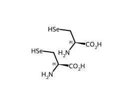 N[C@@H](C[SeH])C(=O)O.N[C@@H](C[SeH])C(=O)O